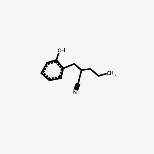 CCCC(C#N)Cc1ccccc1O